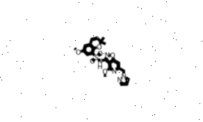 COc1cc2c(c(S(=O)(=O)Nc3noc4cc(Cn5cccn5)nc(OC)c34)c1)OC(C)(C)C=C2